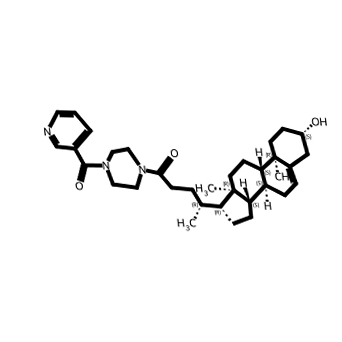 C[C@H](CCC(=O)N1CCN(C(=O)c2cccnc2)CC1)[C@H]1CC[C@H]2[C@@H]3CC=C4C[C@@H](O)CC[C@]4(C)[C@H]3CC[C@]12C